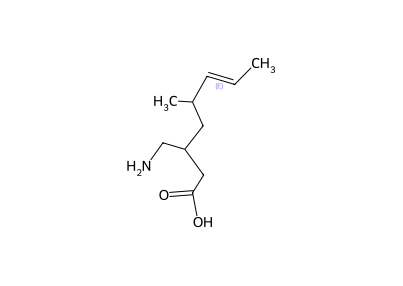 C/C=C/C(C)CC(CN)CC(=O)O